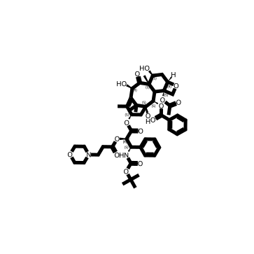 CC(=O)O[C@@]12CO[C@@H]1C[C@H](O)[C@@]1(C)C(=O)[C@H](O)C3=C(C)[C@@H](OC(=O)[C@H](OC(=O)CCN4CCOCC4)[C@@H](NC(=O)OC(C)(C)C)c4ccccc4)C[C@@](O)([C@@H](OC(=O)c4ccccc4)C12)C3(C)C